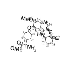 COC(=O)[C@H](N)C1CCC(Oc2cc3c(Nc4cccc(Cl)c4F)ncnc3cc2OC)CC1